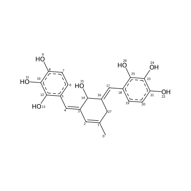 CC1=CC(=Cc2ccc(O)c(O)c2O)C(O)C(=Cc2ccc(O)c(O)c2O)C1